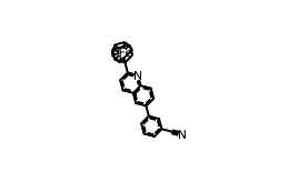 N#Cc1cccc(-c2ccc3nc([C]45[CH]6[CH]7[CH]8[CH]4[Fe]786549%10%11[CH]5[CH]4[CH]9[CH]%10[CH]5%11)ccc3c2)c1